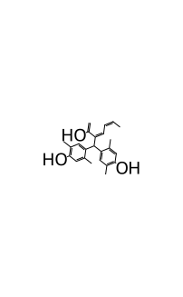 C=C(O)/C(=C\C=C/C)C(c1cc(C)c(O)cc1C)c1cc(C)c(O)cc1C